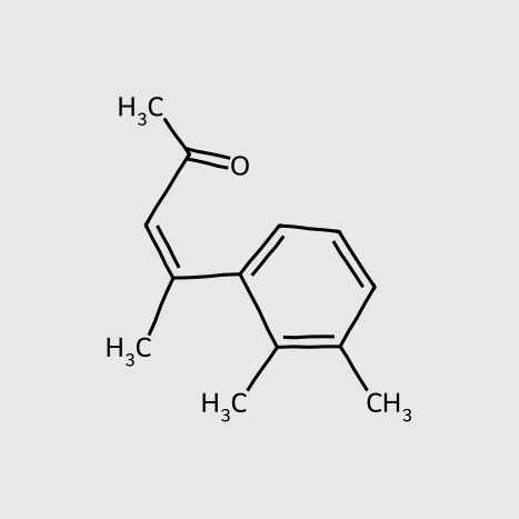 CC(=O)/C=C(/C)c1cccc(C)c1C